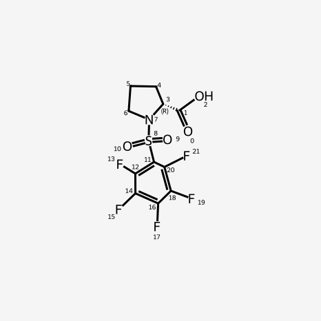 O=C(O)[C@H]1CCCN1S(=O)(=O)c1c(F)c(F)c(F)c(F)c1F